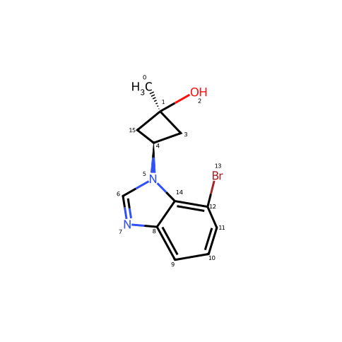 C[C@]1(O)C[C@@H](n2cnc3cccc(Br)c32)C1